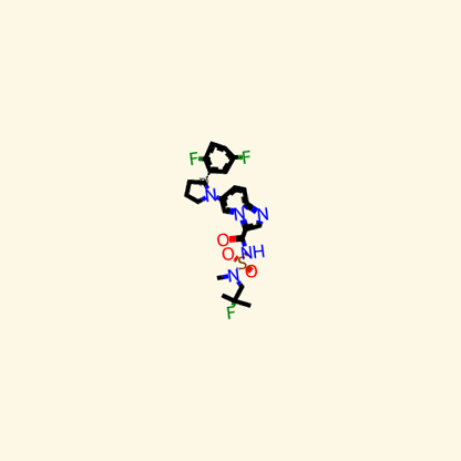 CN(CC(C)(C)F)S(=O)(=O)NC(=O)c1cnc2ccc(N3CCC[C@@H]3c3cc(F)ccc3F)cn12